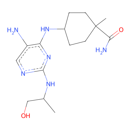 CC(CO)Nc1ncc(N)c(NC2CCC(C)(C(N)=O)CC2)n1